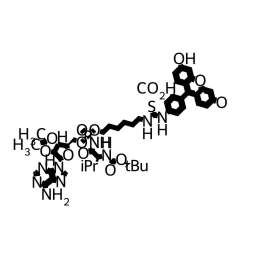 CC(C)[C@H](NC(=O)OC(C)(C)C)C(=O)NP(=O)(OCCCCCCNC(=S)Nc1ccc(-c2c3ccc(=O)cc-3oc3cc(O)ccc23)c(C(=O)O)c1)OC[C@H]1O[C@@H](n2cnc3c(N)ncnc32)[C@@H]2OC(C)(C)O[C@@H]21